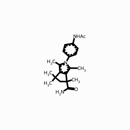 CC(=O)Nc1ccc(-n2c(C)c3c(c2C)C(C)(C(N)=O)CC3(C)C)cc1